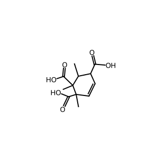 CC1C(C(=O)O)C=CC(C)(C(=O)O)C1(C)C(=O)O